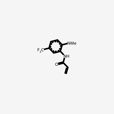 C=CC(=O)Nc1cc(C(F)(F)F)ccc1NC